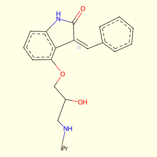 CC(C)NCC(O)COc1cccc2c1/C(=C/c1ccccc1)C(=O)N2